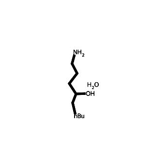 CCCCCC(O)CCCN.O